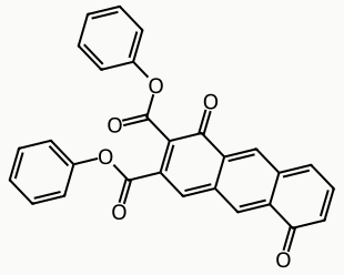 O=C(Oc1ccccc1)C1=C(C(=O)Oc2ccccc2)C(=O)c2cc3c(cc2=C1)C(=O)C=CC=3